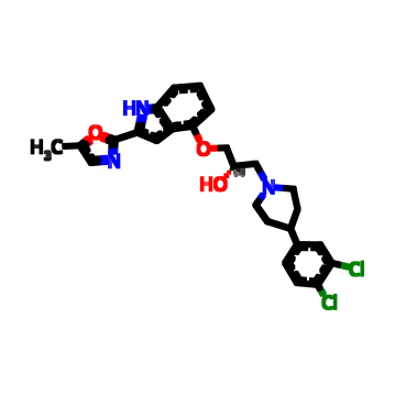 Cc1cnc(-c2cc3c(OC[C@@H](O)CN4CCC(c5ccc(Cl)c(Cl)c5)CC4)cccc3[nH]2)o1